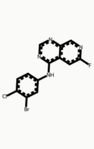 Fc1cc2c(Nc3ccc(Cl)c(Br)c3)ncnc2cn1